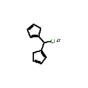 ClC(C1=CC=CC1)C1=CC=CC1.[Zr]